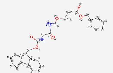 O=C(CNC(=O)OCC1c2ccccc2-c2ccccc21)NCO[C@H]1C[C@@H](C(=O)OCc2ccccc2)C1